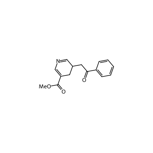 COC(=O)C1=CN=CC(CC(=O)c2ccccc2)C1